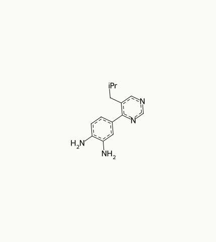 CC(C)Cc1cncnc1-c1ccc(N)c(N)c1